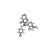 Cc1cc(-c2nc3cnccc3c(=O)n2NCc2ccc(Cl)cc2)ccc1N